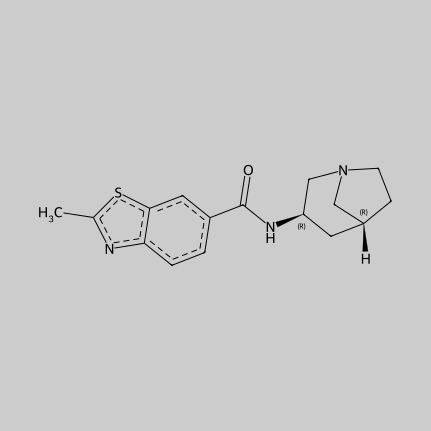 Cc1nc2ccc(C(=O)N[C@@H]3C[C@H]4CCN(C4)C3)cc2s1